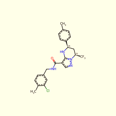 Cc1ccc([C@H]2C[C@@H](C(F)(F)F)n3ncc(C(=O)NCc4ccc(C)c(Cl)c4)c3N2)cc1